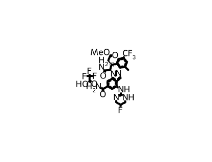 COC(=O)C[C@@H](c1cc(C)cc(C(F)(F)F)c1)C(C(N)=O)n1ncc2c(NC3=NCC(F)CN3)cc(C(N)=O)cc21.O=C(O)C(F)(F)F